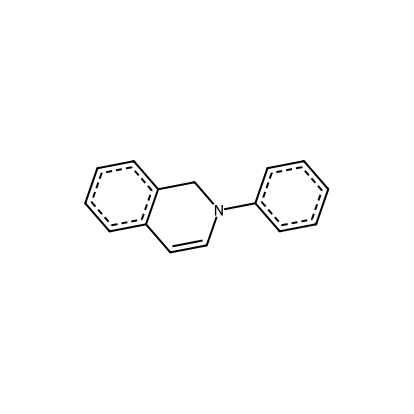 C1=CN(c2ccccc2)Cc2ccccc21